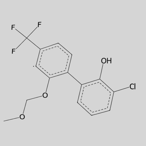 COCOc1[c]c(C(F)(F)F)ccc1-c1cccc(Cl)c1O